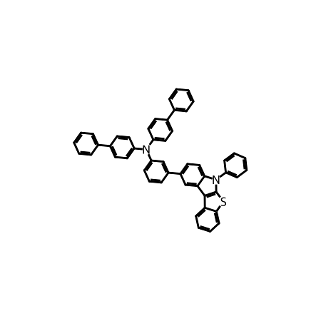 c1ccc(-c2ccc(N(c3ccc(-c4ccccc4)cc3)c3cccc(-c4ccc5c(c4)c4c6ccccc6sc4n5-c4ccccc4)c3)cc2)cc1